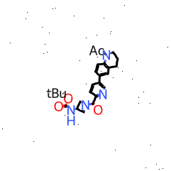 CC(=O)N1CCCc2cc(-c3ccc(C(=O)N4CC(NC(=O)OC(C)(C)C)C4)nc3)ccc21